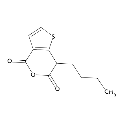 CCCCC1C(=O)OC(=O)c2ccsc21